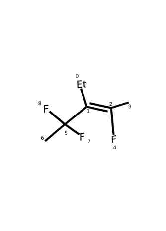 CC/C(=C(\C)F)C(C)(F)F